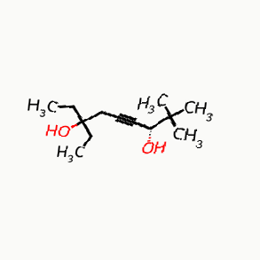 CCC(O)(CC)CC#C[C@@H](O)C(C)(C)C